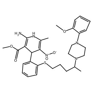 COC(=O)C1=C(N)NC(C)=C([N+](=O)[O-])C1c1ccccc1SCCCC(C)N1CCN(c2ccccc2OC)CC1